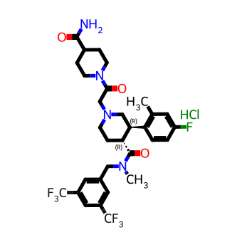 Cc1cc(F)ccc1[C@@H]1CN(CC(=O)N2CCC(C(N)=O)CC2)CC[C@H]1C(=O)N(C)Cc1cc(C(F)(F)F)cc(C(F)(F)F)c1.Cl